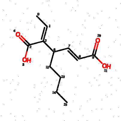 CC=C(C(=O)O)C(C=CC(=O)O)CCCC